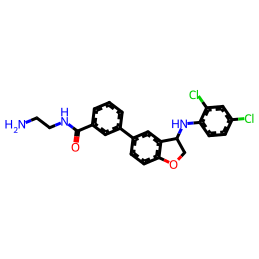 NCCNC(=O)c1cccc(-c2ccc3c(c2)C(Nc2ccc(Cl)cc2Cl)CO3)c1